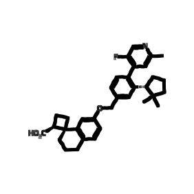 Cc1cc(-c2ccc(COc3ccc4c(c3)[C@@]3(CCC4)CC[C@@H]3C(=O)O)cc2[C@@H]2CCCC2(C)C)c(F)cn1